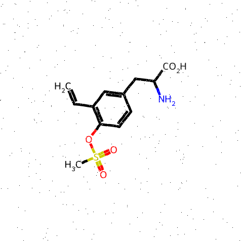 C=Cc1cc(CC(N)C(=O)O)ccc1OS(C)(=O)=O